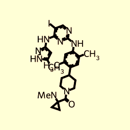 CNC1(C(=O)N2CCC(c3cc(C)c(Nc4ncc(I)c(Nc5cc(C)[nH]n5)n4)cc3C)CC2)CC1